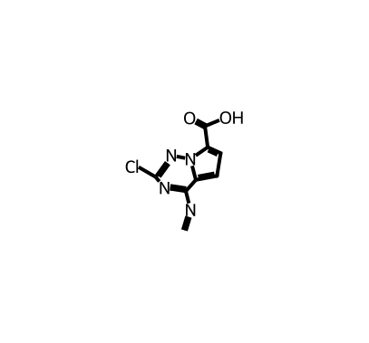 C=Nc1nc(Cl)nn2c(C(=O)O)ccc12